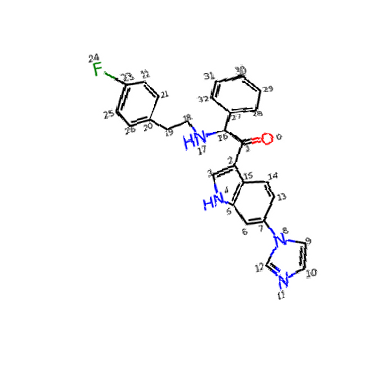 O=C(c1c[nH]c2cc(-n3ccnc3)ccc12)[C@@H](NCCc1ccc(F)cc1)c1ccccc1